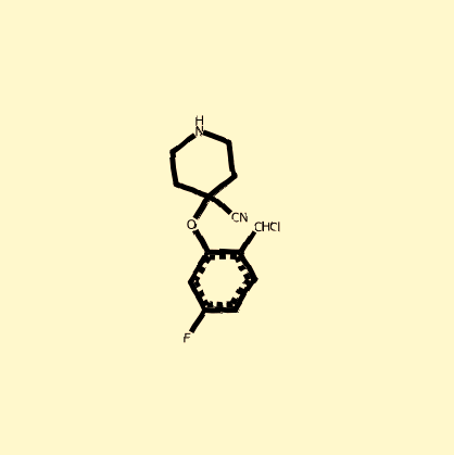 Cl.N#CC1(Oc2cc(F)ccc2Cl)CCNCC1